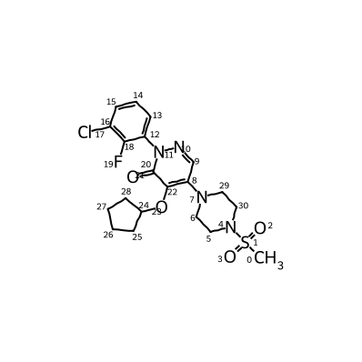 CS(=O)(=O)N1CCN(c2cnn(-c3cccc(Cl)c3F)c(=O)c2OC2CCCC2)CC1